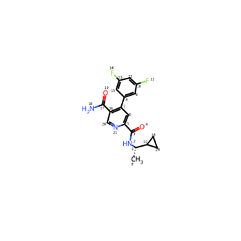 C[C@H](NC(=O)c1cc(-c2cc(F)cc(F)c2)c(C(N)=O)cn1)C1CC1